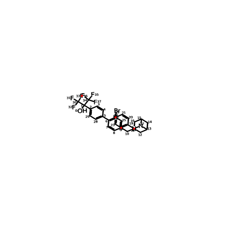 OC(c1ccc(-c2ccc(CN3CC4CC(C3)N4Cc3ccncc3)cc2Br)cc1)(C(F)(F)F)C(F)(F)F